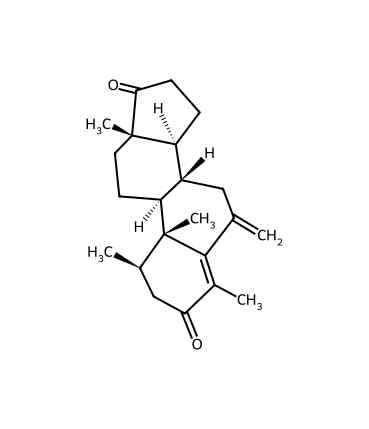 C=C1C[C@@H]2[C@H](CC[C@]3(C)C(=O)CC[C@@H]23)[C@]2(C)C1=C(C)C(=O)C[C@H]2C